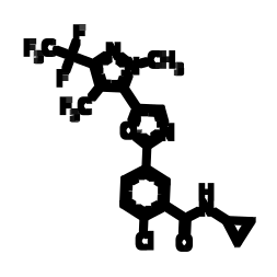 Cn1nc(C(F)(F)C(F)(F)F)c(C(F)(F)F)c1-c1cnc(-c2ccc(Cl)c(C(=O)NC3CC3)c2)o1